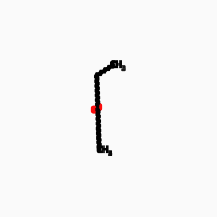 CCCCC=CC=CC=CCCCCCCCC(=O)OCCCCCCCCCCCC/C=C\CCCCCCCC